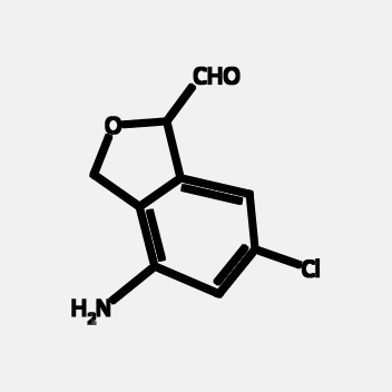 Nc1cc(Cl)cc2c1COC2C=O